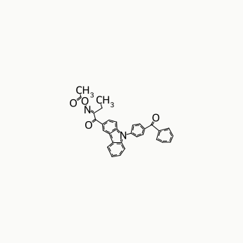 CC/C(=N\OC(C)=O)C(=O)c1ccc2c(c1)c1ccccc1n2-c1ccc(C(=O)c2ccccc2)cc1